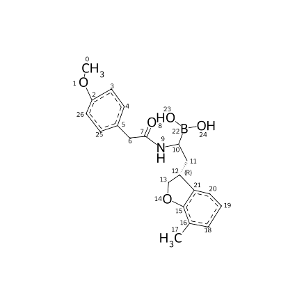 COc1ccc(CC(=O)NC(C[C@H]2COc3c(C)cccc32)B(O)O)cc1